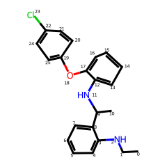 CCNc1ccccc1C(C)Nc1ccccc1Oc1ccc(Cl)cc1